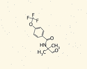 CC(C)(C=O)NC(=O)c1ccc(OC(F)(F)F)cc1